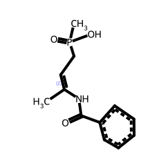 C/C(=C/CP(C)(=O)O)NC(=O)c1ccccc1